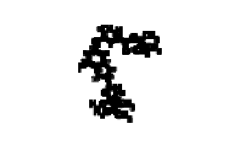 CC(CNC(=O)OC(C)(C)C)Oc1cc(F)c2c(c1)CC(CO[Si](C)(C)C(C)(C)C)C2